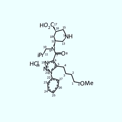 COCCCCc1c(C(=O)N(CC(C)C)[C@@H]2CNC[C@H](C(=O)O)C2)nnn1-c1ccccc1.Cl